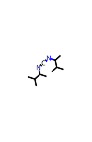 CC(C)C(C)N=C=NC(C)C(C)C